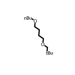 CCCCOCCCCOCC(C)(C)C